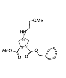 COCCN[C@@H]1C[C@H](C(=O)OC)N(C(=O)OCc2ccccc2)C1